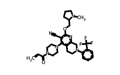 C=CC(=O)N1CCN(c2c(C#N)c(OCC3CCCN3C)nc3c2CCN(c2ccccc2C(F)(F)F)C3)CC1